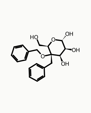 OC[C@H]1O[C@H](O)[C@@H](O)[C@@H](O)[C@]1(Cc1ccccc1)OCc1ccccc1